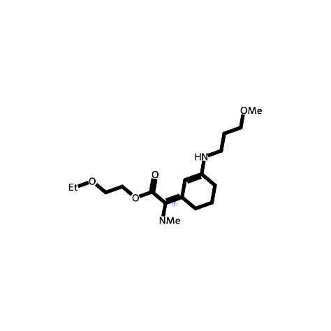 CCOCCOC(=O)/C(NC)=C1\C=C(NCCCOC)CCC1